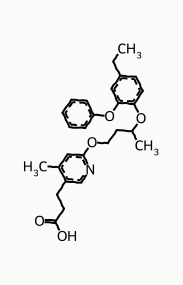 CCc1ccc(OC(C)CCOc2cc(C)c(CCC(=O)O)cn2)c(Oc2ccccc2)c1